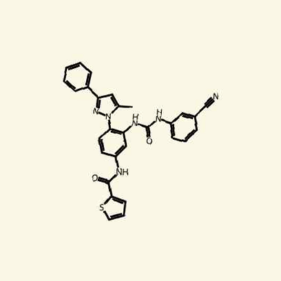 Cc1cc(-c2ccccc2)nn1-c1ccc(NC(=O)c2cccs2)cc1NC(=O)Nc1cccc(C#N)c1